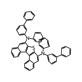 c1ccc(-c2cccc(N(c3ccccc3)c3cc4ccccc4c4c3sc3c(N(c5ccccc5)c5cccc(-c6ccccc6)c5)cc5ccccc5c34)c2)cc1